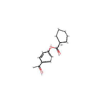 CC(=O)c1ccc(OC(=O)C2CCCCC2)cc1